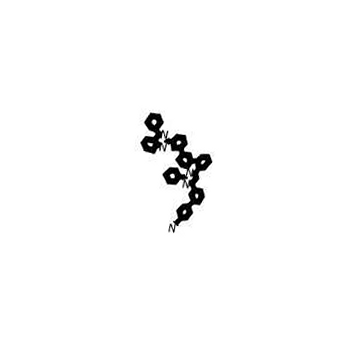 N#Cc1ccc(-c2cccc(-c3cc(-c4ccccc4-c4cccc(-c5cccc(-c6nc(-c7ccccc7)c7ccccc7n6)c5)c4)nc(-c4ccccc4)n3)c2)cc1